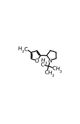 Cc1coc(C2CCCN2C(C)(C)C)c1